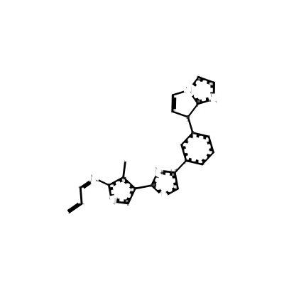 C=C/C=N\c1[nH]cc(-c2nc(-c3cccc(C4C=Cn5ccnc54)c3)cs2)c1C